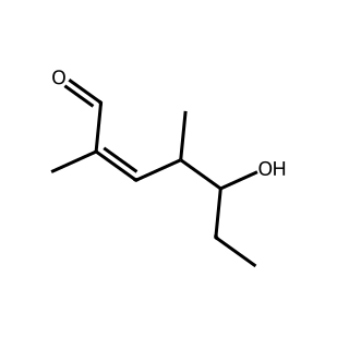 CCC(O)C(C)C=C(C)C=O